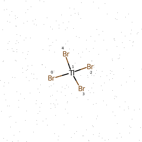 [Br][Tl]([Br])([Br])[Br]